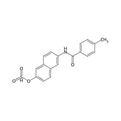 Cc1ccc(C(=O)Nc2ccc3cc(O[SH](=O)=O)ccc3c2)cc1